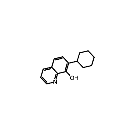 Oc1c(C2CCCCC2)ccc2cccnc12